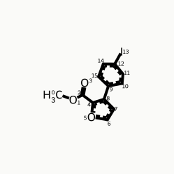 COC(=O)c1occc1-c1ccc(I)cc1